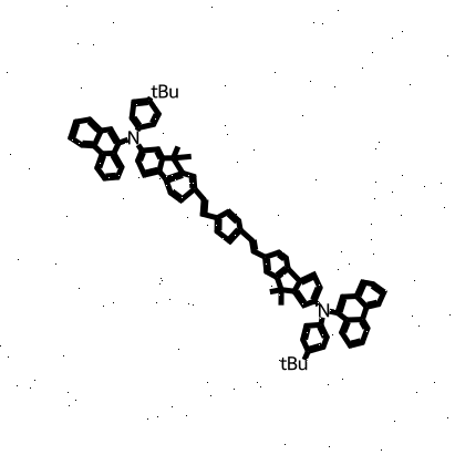 CC(C)(C)c1ccc(N(c2ccc3c(c2)C(C)(C)c2cc(/C=C/c4ccc(/C=C/c5ccc6c(c5)C(C)(C)c5cc(N(c7ccc(C(C)(C)C)cc7)c7cc8ccccc8c8ccccc78)ccc5-6)cc4)ccc2-3)c2cc3ccccc3c3ccccc23)cc1